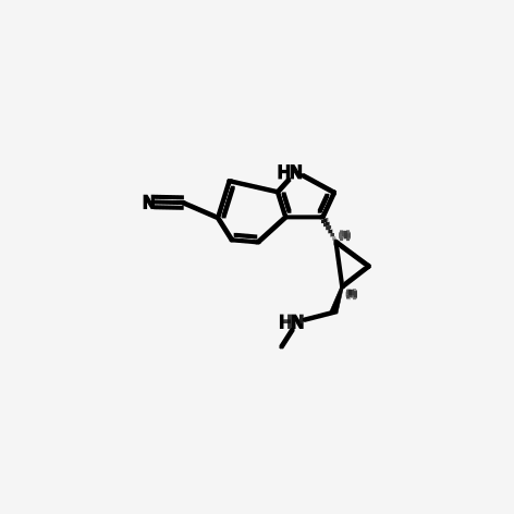 CNC[C@@H]1C[C@H]1c1c[nH]c2cc(C#N)ccc12